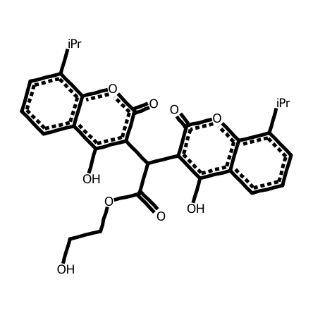 CC(C)c1cccc2c(O)c(C(C(=O)OCCO)c3c(O)c4cccc(C(C)C)c4oc3=O)c(=O)oc12